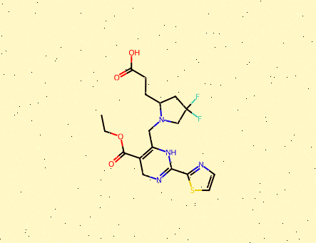 CCOC(=O)C1=C(CN2CC(F)(F)CC2CCC(=O)O)NC(c2nccs2)=NC1